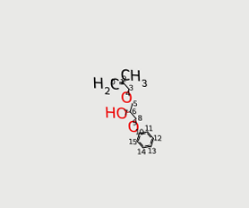 C=C(C)COCC(O)COc1ccccc1